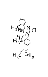 C/C=C\[C@H](C)CC1=C[C@H](C)[C@@](C)(/C=N/C(Cl)=N\C(=N)C2=CC=CC[C@H]2C)CC1